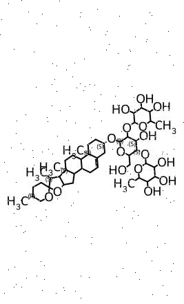 CC1OC(OC2[C@H](O[C@H]3CC[C@@]4(C)C(=CCC5C6CC7OC8(CC[C@@H](C)CO8)[C@@H](C)C7[C@@]6(C)CCC54)C3)OC(CO)[C@@H](OC3OC(C)C(O)C(O)C3O)[C@@H]2O)C(O)C(O)C1O